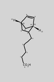 O=C(O)CCCCC1C[C@@H]2C=C[C@H]1C2